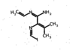 C=C/N=C(/N)C(/N=C\I)=C(C)C